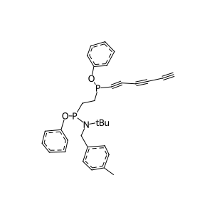 C#CC#CC#CP(CCP(Oc1ccccc1)N(Cc1ccc(C)cc1)C(C)(C)C)Oc1ccccc1